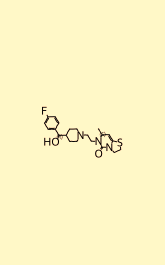 C[C@H]1C=C2SCCN2C(=O)N1CCN1CCC([C@@H](O)c2ccc(F)cc2)CC1